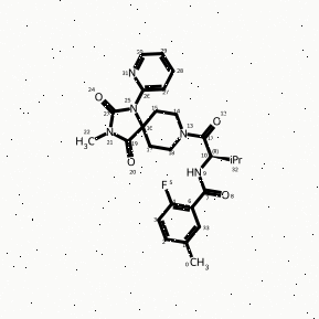 Cc1ccc(F)c(C(=O)N[C@@H](C(=O)N2CCC3(CC2)C(=O)N(C)C(=O)N3c2ccccn2)C(C)C)c1